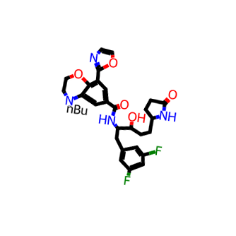 CCCCN1CCOc2c(-c3ncco3)cc(C(=O)NC(Cc3cc(F)cc(F)c3)C(O)CCC3CCC(=O)N3)cc21